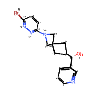 O[C@H](c1cccnc1)C1CC2(C1)CN(c1ccc(Br)nn1)C2